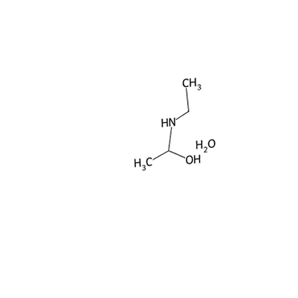 CCNC(C)O.O